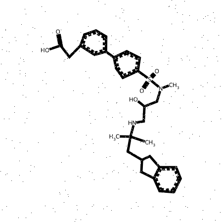 CN(CC(O)CNC(C)(C)CC1Cc2ccccc2C1)S(=O)(=O)c1ccc(-c2cccc(CC(=O)O)c2)cc1